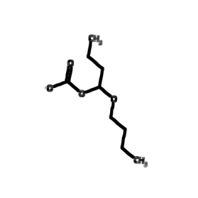 CCCCOC(CCC)OC([O])=O